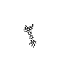 CC1(C)c2cccc3ccc4cc(-c5ccc(-c6ccc(N(c7ccc(C#N)cc7)c7cccc8ccccc78)cc6)cc5)cc1c4c23